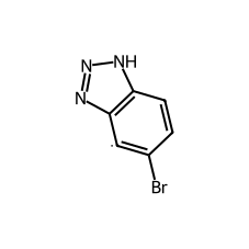 Brc1[c]c2nn[nH]c2cc1